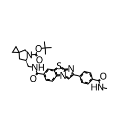 CNC(=O)c1ccc(-c2cn3c(n2)sc2cc(C(=O)NC[C@H]4CC5(CC5)CN4C(=O)OC(C)(C)C)ccc23)cc1